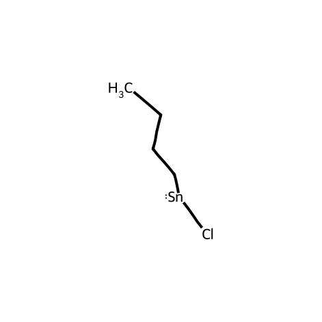 CCC[CH2][Sn][Cl]